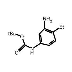 CCc1ccc(NC(=O)OC(C)(C)C)cc1N